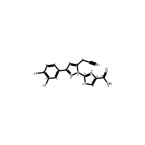 N#CCc1cc(-c2ccc(F)c(F)c2)nn1-c1nc(C(=O)O)cs1